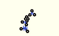 c1ccc(-c2nc(-c3ccccc3)nc(-c3ccc4c5cc6ccc7c(-c8ccc(N(c9ccccc9)c9ccccc9)cc8)ccc8ccc(c6c87)c5n(-c5ccccc5)c4c3)n2)cc1